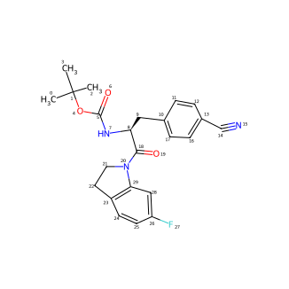 CC(C)(C)OC(=O)N[C@@H](Cc1ccc(C#N)cc1)C(=O)N1CCc2ccc(F)cc21